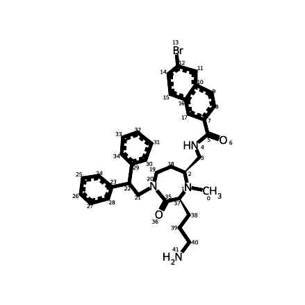 CN1[C@H](CNC(=O)c2ccc3cc(Br)ccc3c2)CCN(CC(c2ccccc2)c2ccccc2)C(=O)[C@@H]1CCCN